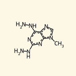 Cn1cnc2c(NN)nc(NN)nc21